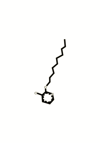 CCCCCCCCCCOc1ncccc1Cl